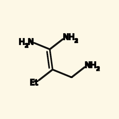 CCC(CN)=C(N)N